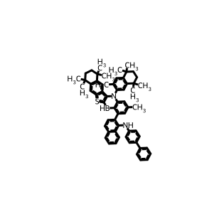 Cc1cc(-c2ccc3ccccc3c2Nc2ccc(-c3ccccc3)cc2)c2c(c1)N(c1cc3c(cc1C)C(C)(C)CCC3(C)C)c1c(sc3cc4c(cc13)C(C)(C)CCC4(C)C)B2